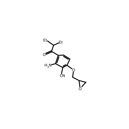 CCC(CC)C(=O)c1ccc(OCC2CO2)c(C#N)c1N